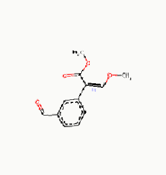 CO/C=C(\C(=O)OC)c1cccc(C=O)c1